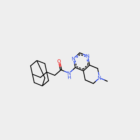 CN1CCc2c(ncnc2NC(=O)CC23CC4CC(CC(C4)C2)C3)C1